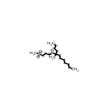 CCCCCCCC(C)(CCCC)NCCCS(C)(=O)=O